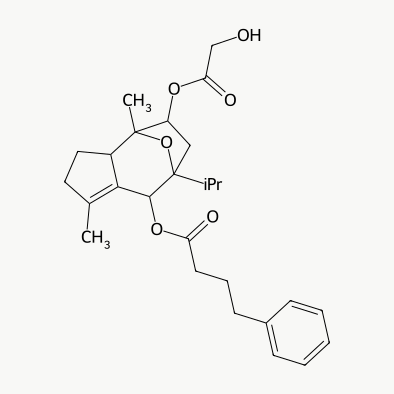 CC1=C2C(CC1)C1(C)OC(C(C)C)(CC1OC(=O)CO)C2OC(=O)CCCc1ccccc1